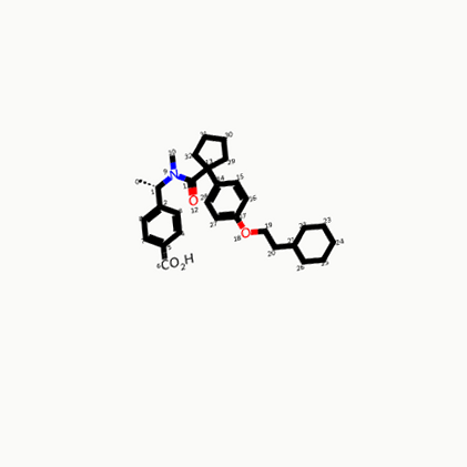 C[C@@H](c1ccc(C(=O)O)cc1)N(C)C(=O)C1(c2ccc(OCCC3CCCCC3)cc2)CCCC1